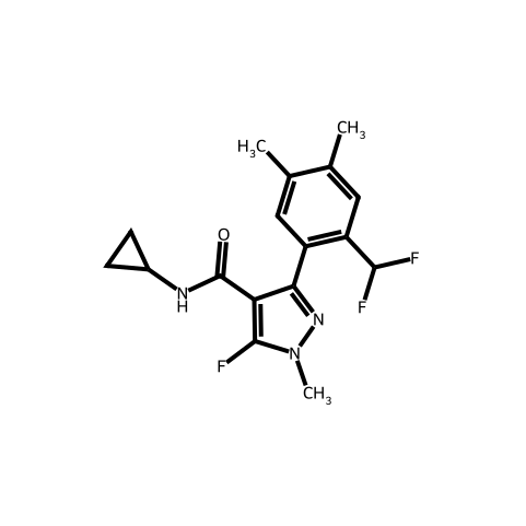 Cc1cc(-c2nn(C)c(F)c2C(=O)NC2CC2)c(C(F)F)cc1C